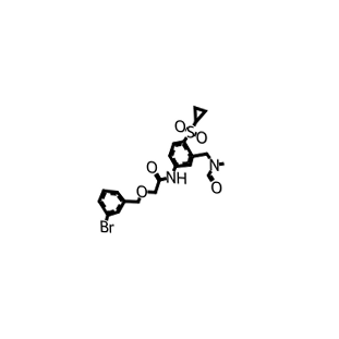 CN(C=O)Cc1cc(NC(=O)COCc2cccc(Br)c2)ccc1S(=O)(=O)C1CC1